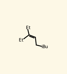 CCC(=CCC(C)CC)CC